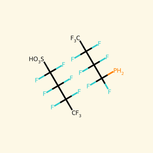 FC(F)(F)C(F)(F)C(F)(F)C(F)(F)P.O=S(=O)(O)C(F)(F)C(F)(F)C(F)(F)C(F)(F)F